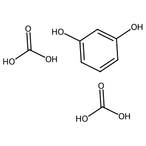 O=C(O)O.O=C(O)O.Oc1cccc(O)c1